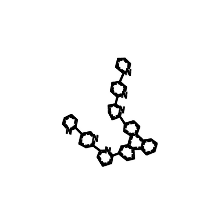 c1ccc(-c2ccc(-c3cccc(-c4ccc5c6ccccc6c6ccc(-c7cccc(-c8ccc(-c9ccccn9)cn8)n7)cc6c5c4)n3)nc2)nc1